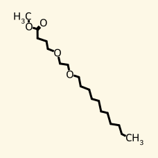 CCCCCCCCCCCOCCOCCCC(=O)OC